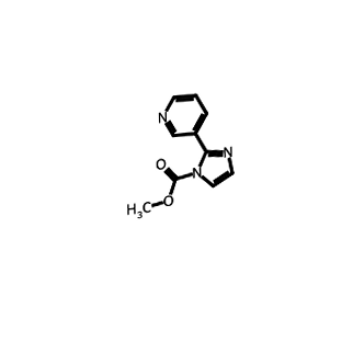 COC(=O)n1ccnc1-c1cccnc1